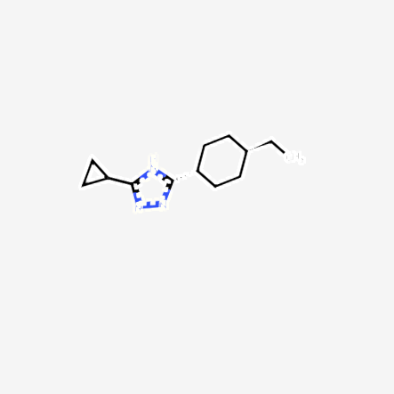 CC[C@H]1CC[C@H](c2nnc(C3CC3)[nH]2)CC1